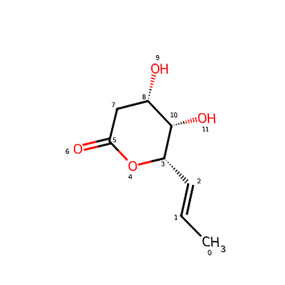 C/C=C/[C@@H]1OC(=O)C[C@H](O)[C@@H]1O